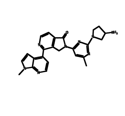 Cc1cc(N2Cc3c(ccnc3-c3ccnc4c3ccn4C)C2=O)nc(N2CCC(N)C2)n1